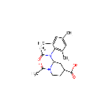 CC(=O)N1CCC(C(=O)O)CC1N(C(C)=O)c1c(C)cc(C)cc1C